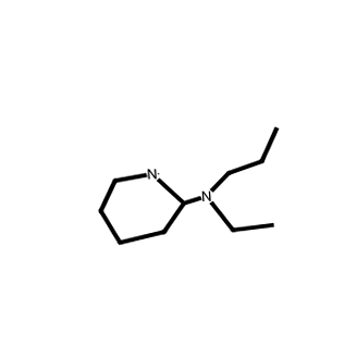 CCCN(CC)C1CCCC[N]1